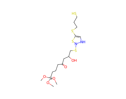 CO[Si](CCCC(=O)CC(O)CSN1NC=C(SCCCS)S1)(OC)OC